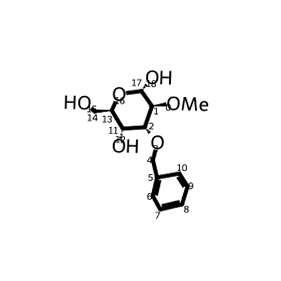 CO[C@H]1[C@H](OCc2ccccc2)[C@H](O)[C@@H](CO)O[C@@H]1O